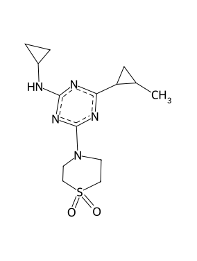 CC1CC1c1nc(NC2CC2)nc(N2CCS(=O)(=O)CC2)n1